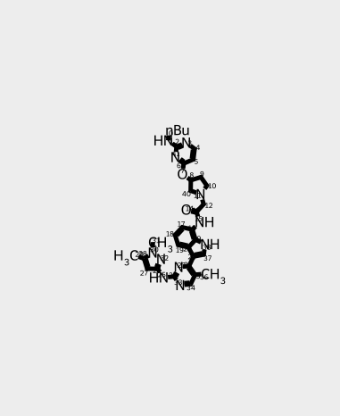 CCCCNc1nccc(OC2CCN(CC(=O)Nc3cccc4c(-c5nc(Nc6cc(C)n(C)n6)ncc5C)c[nH]c34)C2)n1